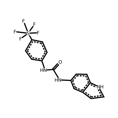 O=C(Nc1ccc(S(F)(F)(F)(F)F)cc1)Nc1ccc2[nH]ccc2c1